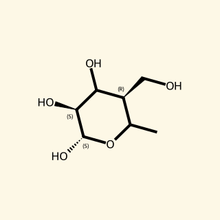 CC1O[C@H](O)[C@@H](O)C(O)[C@H]1CO